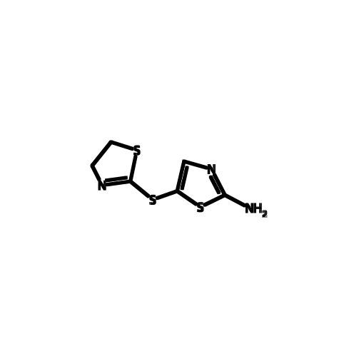 Nc1ncc(SC2=NCCS2)s1